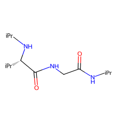 CC(C)NC(=O)CNC(=O)[C@@H](NC(C)C)C(C)C